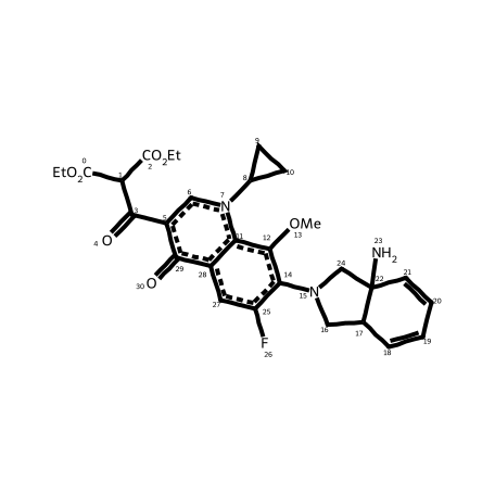 CCOC(=O)C(C(=O)OCC)C(=O)c1cn(C2CC2)c2c(OC)c(N3CC4C=CC=CC4(N)C3)c(F)cc2c1=O